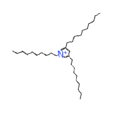 CCCCCCCCCCc1cc(CCCCCCCCCC)c[n+](CCCCCCCCCC)c1